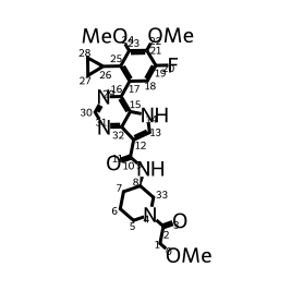 COCC(=O)N1CCC[C@@H](NC(=O)c2c[nH]c3c(-c4cc(F)c(OC)c(OC)c4C4CC4)ncnc23)C1